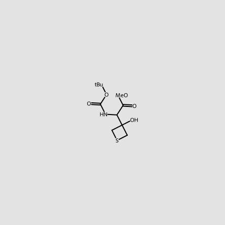 COC(=O)C(NC(=O)OC(C)(C)C)C1(O)CSC1